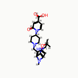 CCNc1c2cc(OC(C)C)c(CN3CCC(n4ccc(C(=O)O)cc4=O)CC3)c1N2C